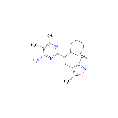 Cc1nc(N(Cc2c(C)noc2C)C2CCCCC2)nc(N)c1C